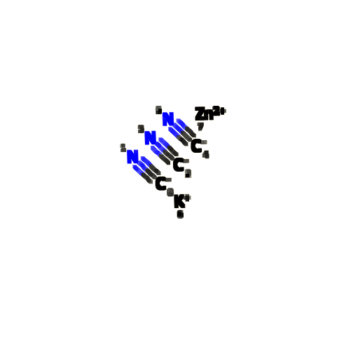 [C-]#N.[C-]#N.[C-]#N.[K+].[Zn+2]